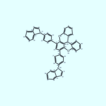 c1ccc2c(c1)Oc1c(-c3ccc(-n4ccc5ccccc54)cc3)cc(-c3ccc(-n4ccc5ccccc54)cc3)c3c1B2c1ccccc1O3